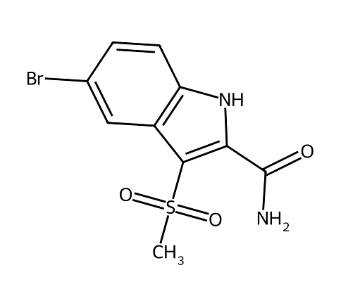 CS(=O)(=O)c1c(C(N)=O)[nH]c2ccc(Br)cc12